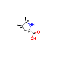 C[C@@H]1C[C@@H](C(=O)O)N[C@@H]1C